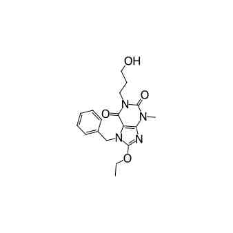 CCOc1nc2c(c(=O)n(CCCO)c(=O)n2C)n1Cc1ccccc1